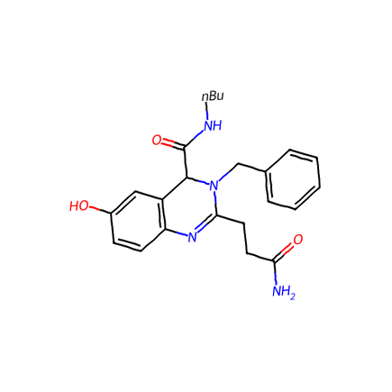 CCCCNC(=O)C1c2cc(O)ccc2N=C(CCC(N)=O)N1Cc1ccccc1